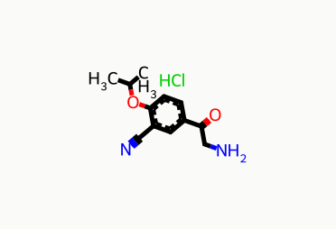 CC(C)Oc1ccc(C(=O)CN)cc1C#N.Cl